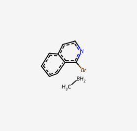 BC.Brc1nccc2ccccc12